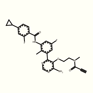 C#CC(=O)N(C)CCOc1c(N)ncnc1-c1cc(F)cc(NC(=O)c2ccc(C3CC3)cc2F)c1C